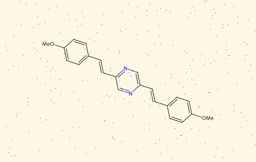 COc1ccc(C=Cc2cnc(C=Cc3ccc(OC)cc3)cn2)cc1